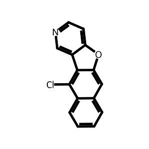 Clc1c2ccccc2cc2oc3ccncc3c12